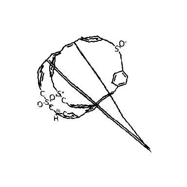 [O-][S+]1Cc2ccc(cc2)-c2cc3cc(c2)-c2ccc(cc2)C[S+]([O-])Cc2ccc(cc2)-c2cc(cc(c2)-c2ccc(cc2)C[S+]([O-])C[C@@H]2C=CC3=CC2)-c2ccc(cc2)C1